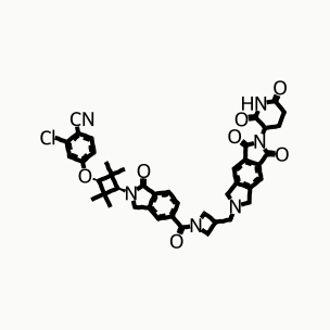 CC1(C)[C@H](Oc2ccc(C#N)c(Cl)c2)C(C)(C)[C@H]1N1Cc2cc(C(=O)N3CC(CN4Cc5cc6c(cc5C4)C(=O)N(C4CCC(=O)NC4=O)C6=O)C3)ccc2C1=O